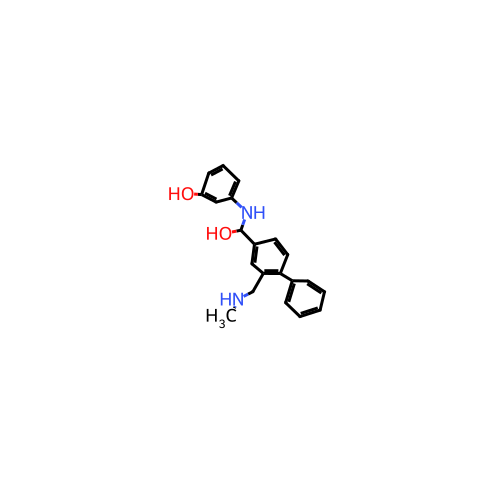 CNCc1cc(C(O)Nc2cccc(O)c2)ccc1-c1ccccc1